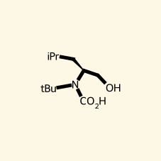 CC(C)C[C@@H](CO)N(C(=O)O)C(C)(C)C